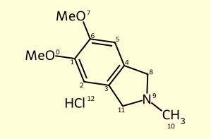 COc1cc2c(cc1OC)CN(C)C2.Cl